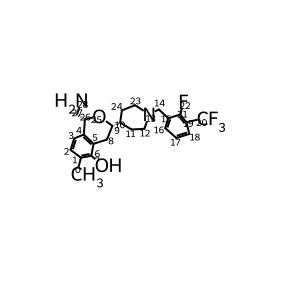 Cc1ccc2c(c1O)C[C@@H](C1CCN(Cc3cccc(C(F)(F)F)c3F)CC1)O[C@H]2CN